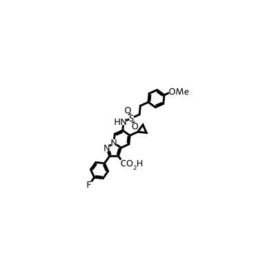 COc1ccc(CCS(=O)(=O)Nc2cn3nc(-c4ccc(F)cc4)c(C(=O)O)c3cc2C2CC2)cc1